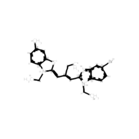 CCC(/C=C1\Sc2cc(C)ccc2N1CC)=C\c1sc2cc(Br)ccc2[n+]1CC